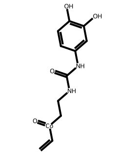 C=[CH][Co](=[O])[CH2]CNC(=O)Nc1ccc(O)c(O)c1